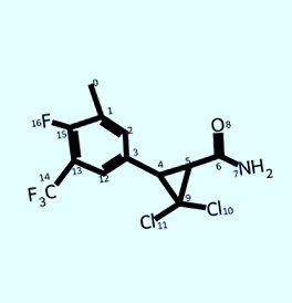 Cc1cc(C2C(C(N)=O)C2(Cl)Cl)cc(C(F)(F)F)c1F